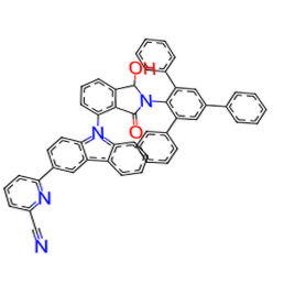 N#Cc1cccc(-c2ccc3c(c2)c2ccccc2n3-c2cccc3c2C(=O)N(c2c(-c4ccccc4)cc(-c4ccccc4)cc2-c2ccccc2)C3O)n1